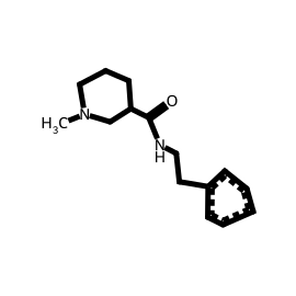 CN1CCCC(C(=O)NCCc2ccccc2)C1